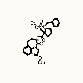 CCOP(=O)(CC1(C(=O)C[C@H]2CCc3ccccc3N(CC(=O)OC(C)(C)C)C2=O)CCCC1)OCc1ccccc1